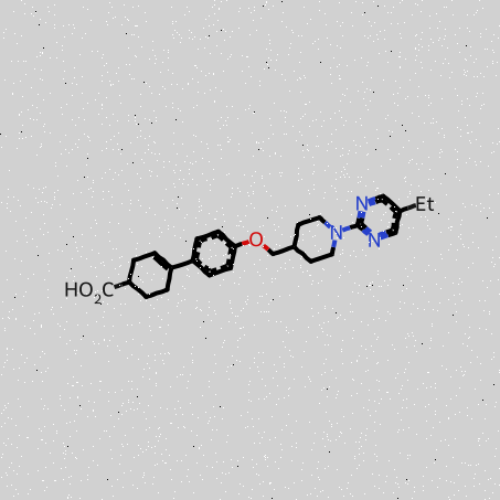 CCc1cnc(N2CCC(COc3ccc(C4=CCC(C(=O)O)CC4)cc3)CC2)nc1